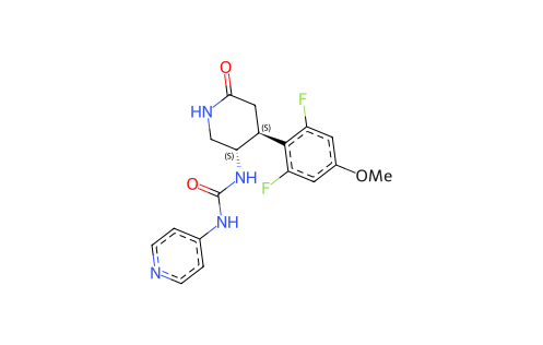 COc1cc(F)c([C@@H]2CC(=O)NC[C@H]2NC(=O)Nc2ccncc2)c(F)c1